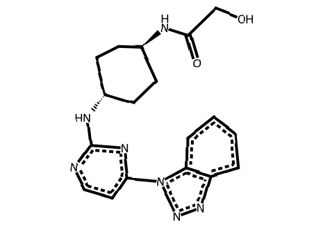 O=C(CO)N[C@H]1CC[C@H](Nc2nccc(-n3nnc4ccccc43)n2)CC1